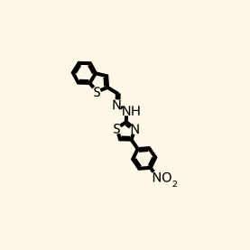 O=[N+]([O-])c1ccc(-c2csc(NN=Cc3cc4ccccc4s3)n2)cc1